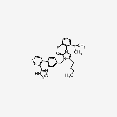 CCCCc1cn(-c2c(F)cccc2C(C)C)c(=O)n1Cc1ccc(-c2ccncc2-c2nnn[nH]2)cc1